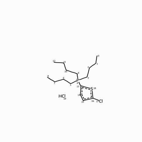 CCCC[P](CCCC)(CCCC)c1ccc(Cl)s1.Cl